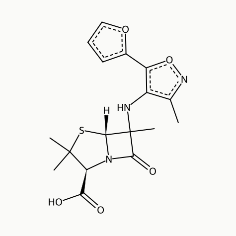 Cc1noc(-c2ccco2)c1NC1(C)C(=O)N2[C@@H](C(=O)O)C(C)(C)S[C@@H]21